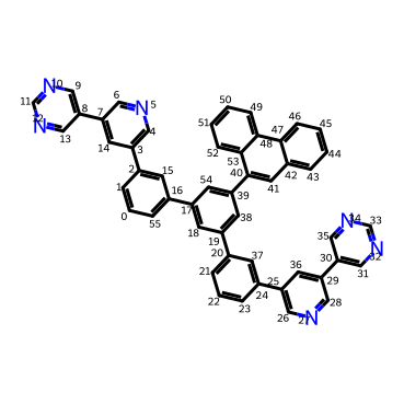 c1cc(-c2cncc(-c3cncnc3)c2)cc(-c2cc(-c3cccc(-c4cncc(-c5cncnc5)c4)c3)cc(-c3cc4ccccc4c4ccccc34)c2)c1